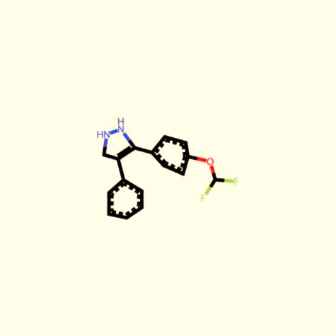 FC(F)Oc1ccc(C2=C(c3ccccc3)CNN2)cc1